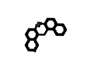 Oc1ccc2ccccc2c1Cc1c(O)ccc2ccncc12